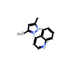 Cc1cc(C=O)n[nH]1.c1ccc2ncccc2c1